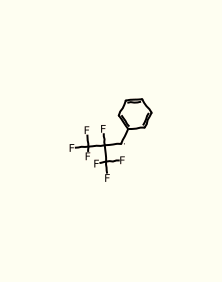 FC(F)(F)C(F)([CH]c1ccccc1)C(F)(F)F